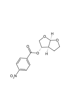 O=C(O[C@@H]1CO[C@H]2OCC[C@H]21)c1ccc([N+](=O)[O-])cc1